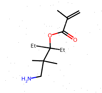 C=C(C)C(=O)OC(CC)(CC)C(C)(C)CN